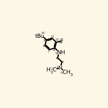 CN(C)CCNc1ccc(C(C)(C)C)cc1F